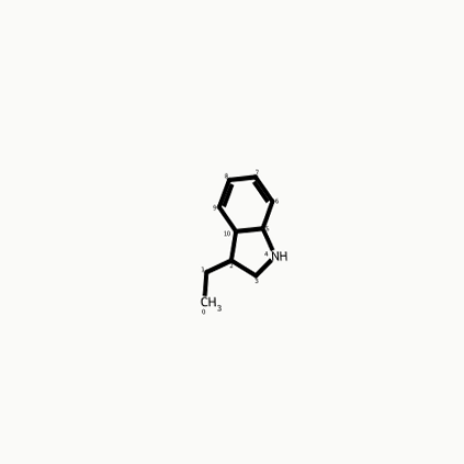 CCC1CNC2C=CC=CC12